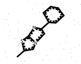 Cc1cn2cc(-c3ccccc3)nc2s1